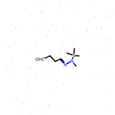 CN(/N=C/CCC=O)[Si](C)(C)C